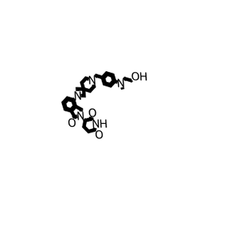 CN(CCO)c1ccc(CN2CCC3(CC2)CN(c2cccc4c2CN(C2CCC(=O)NC2=O)C4=O)C3)cc1